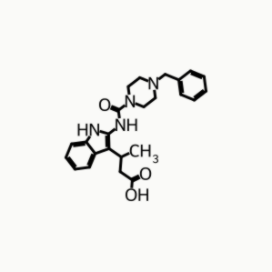 CC(CC(=O)O)c1c(NC(=O)N2CCN(Cc3ccccc3)CC2)[nH]c2ccccc12